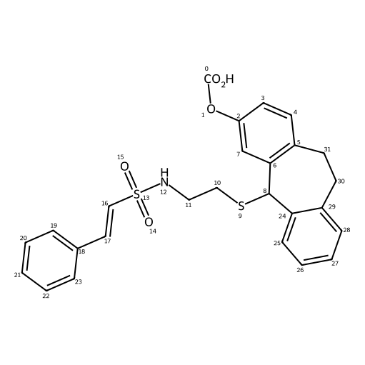 O=C(O)Oc1ccc2c(c1)C(SCCNS(=O)(=O)C=Cc1ccccc1)c1ccccc1CC2